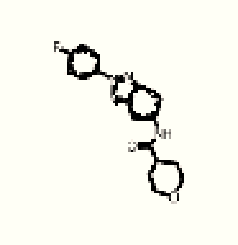 O=C(Nc1ccc2nn(-c3ccc(F)cc3)nc2c1)C1CCOCC1